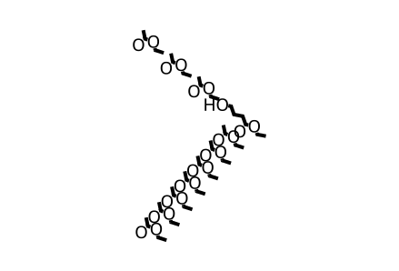 CCOC(=O)CCCO.CCOC(C)=O.CCOC(C)=O.CCOC(C)=O.CCOC(C)=O.CCOC(C)=O.CCOC(C)=O.CCOC(C)=O.CCOC(C)=O.CCOC(C)=O.CCOC(C)=O